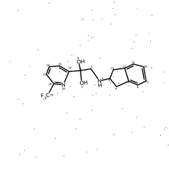 OC(O)(CNC1Cc2ccccc2C1)c1cccc(C(F)(F)F)n1